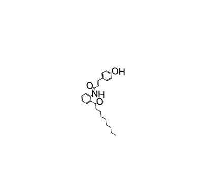 CCCCCCCCC(=O)c1ccccc1NC(=O)C=Cc1ccc(O)cc1